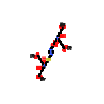 CC(C)OC(=O)CCCCC(O)CN(CCCSSCCN1CCN(CCOC(=O)CCCN(CC(O)CCCCC(=O)OC(C)C)CC(O)CCCCC(=O)OC(C)C)CC1)CC(O)CCCCC(=O)OC(C)C